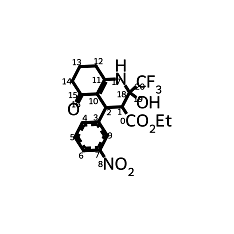 CCOC(=O)C1C(c2cccc([N+](=O)[O-])c2)C2=C(CCCC2=O)NC1(O)C(F)(F)F